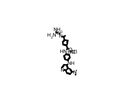 CC(=NN=C(N)N)c1ccc(C(=O)Nc2ccc(Nc3ccnc4ccc(N(C)C)cc34)cc2)cc1.Cl.Cl